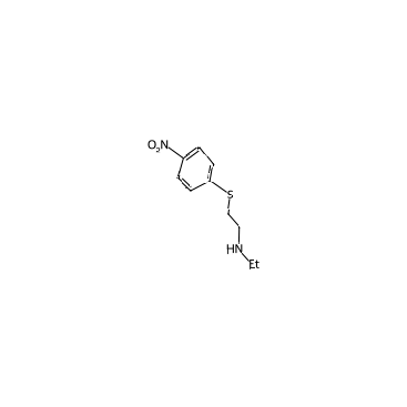 CCNCCSc1ccc([N+](=O)[O-])cc1